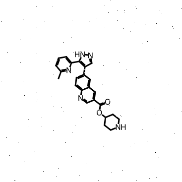 Cc1cccc(-c2[nH]ncc2-c2ccc3ncc(C(=O)OC4CCNCC4)cc3c2)n1